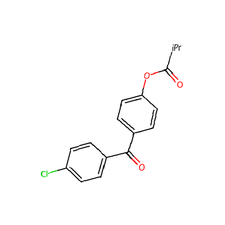 CC(C)C(=O)Oc1ccc(C(=O)c2ccc(Cl)cc2)cc1